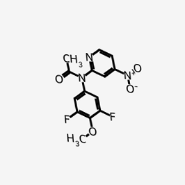 COc1c(F)cc(N(C(C)=O)c2cc([N+](=O)[O-])ccn2)cc1F